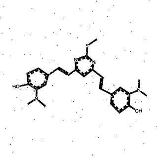 CSc1nc(/C=C/c2ccc(O)c(N(C)C)c2)cc(/C=C/c2ccc(O)c(N(C)C)c2)n1